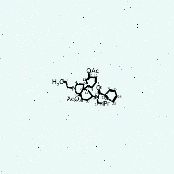 C=CCN1CCC2(c3cccc(OC(C)=O)c3)CC(N(CC(C)C)C(=O)c3ccccc3)CCC2(OC(C)=O)C1